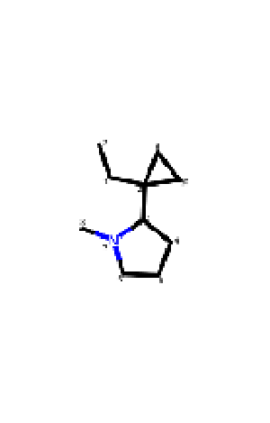 CCC1(C2CCCN2C)CC1